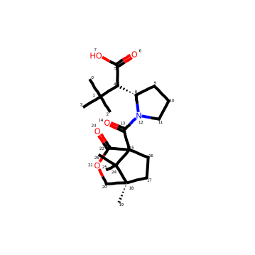 CC(C)(C)C(C(=O)O)[C@@H]1CCCN1C(=O)C12CC[C@@](C)(COC1=O)C2(C)C